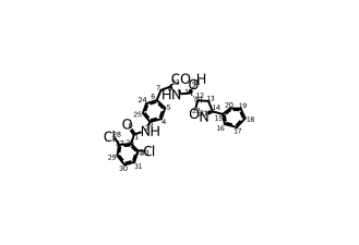 O=C(Nc1ccc(CC(NC(=O)[C@@H]2CC(c3ccccc3)=NO2)C(=O)O)cc1)c1c(Cl)cccc1Cl